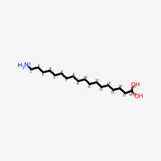 NCCCCCCCCCCCCCCCCCC(O)O